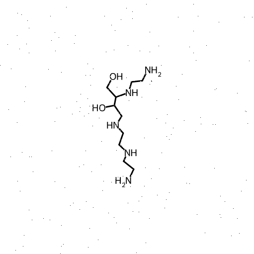 NCCNCCNCC(O)C(CO)NCCN